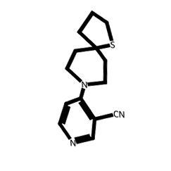 N#Cc1cnccc1N1CCC2(CCCS2)CC1